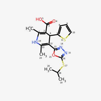 CC1=C(C(=O)O)C(c2cccs2)C(c2nnc(SC(C)C)o2)=C(C)N1